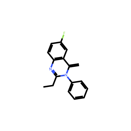 C=C1c2cc(F)ccc2N=C(CC)N1c1ccccc1